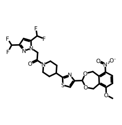 COc1ccc([N+](=O)[O-])c2c1COC(c1csc(C3CCN(C(=O)Cn4nc(C(F)F)cc4C(F)F)CC3)n1)OC2